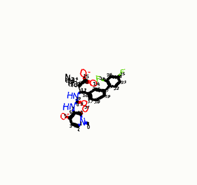 Cn1ccc([O-])c(NC(=O)N[C@@H](CC(=O)[O-])c2cccc(-c3ccc(F)cc3F)c2)c1=O.[Na+].[Na+]